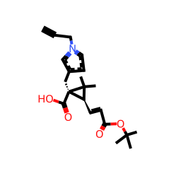 C#CCn1ccc(C[C@@]2(C(=O)O)[C@H](C=CC(=O)OC(C)(C)C)C2(C)C)c1